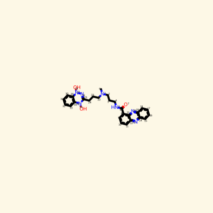 CN(CCCNC(=O)c1cccc2nc3ccccc3nc12)CCCC1=NN(O)c2ccccc2N1O